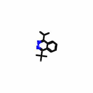 CC(C)c1nnc(C(C)(C)C)c2ccccc12